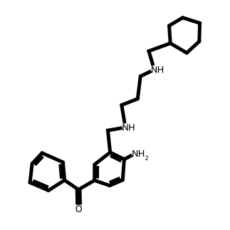 Nc1ccc(C(=O)c2ccccc2)cc1CNCCCNCC1CCCCC1